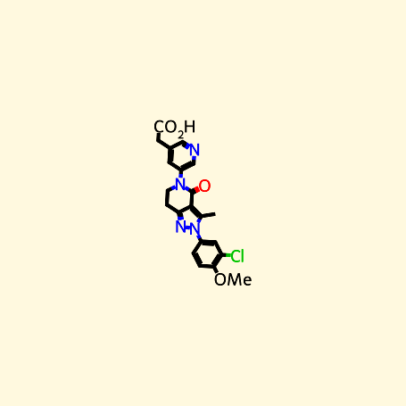 COc1ccc(-n2nc3c(c2C)C(=O)N(c2cncc(CC(=O)O)c2)CC3)cc1Cl